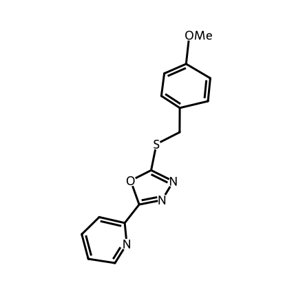 COc1ccc(CSc2nnc(-c3ccccn3)o2)cc1